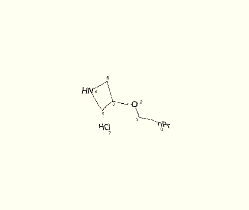 CCCCOC1CNC1.Cl